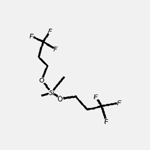 C[Si](C)(OCCC(F)(F)F)OCCC(F)(F)F